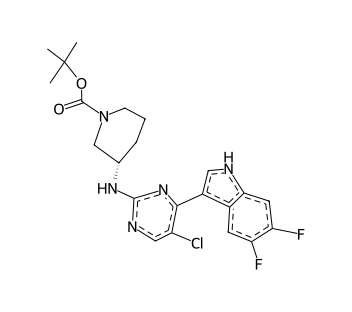 CC(C)(C)OC(=O)N1CCC[C@H](Nc2ncc(Cl)c(-c3c[nH]c4cc(F)c(F)cc34)n2)C1